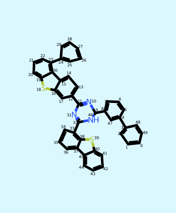 c1ccc(-c2cccc(C3N=C(c4ccc5c(c4)sc4cccc(-c6ccccc6)c45)N=C(c4cccc5c4sc4ccccc45)N3)c2)cc1